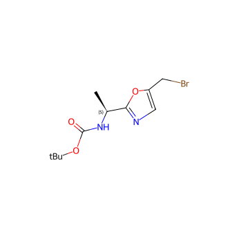 C[C@H](NC(=O)OC(C)(C)C)c1ncc(CBr)o1